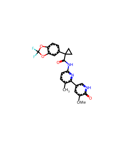 COc1cc(-c2nc(NC(=O)C3(c4ccc5c(c4)OC(F)(F)O5)CC3)ccc2C)c[nH]c1=O